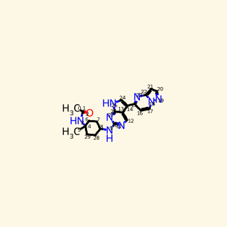 CC(=O)NC1(C)CCC(Nc2ncc3c(-c4ccn5nccc5n4)c[nH]c3n2)CC1